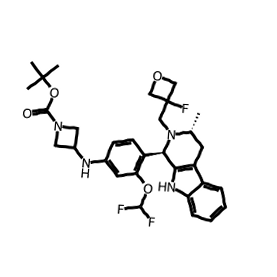 C[C@@H]1Cc2c([nH]c3ccccc23)[C@@H](c2ccc(NC3CN(C(=O)OC(C)(C)C)C3)cc2OC(F)F)N1CC1(F)COC1